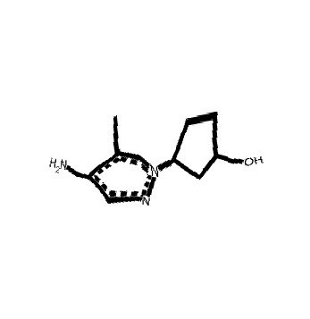 Cc1c(N)cnn1C1CCC(O)C1